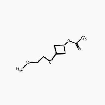 COCCOC1CN(OC(C)=O)C1